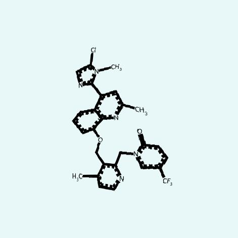 Cc1cc(-c2ncc(Cl)n2C)c2cccc(OCc3c(C)ccnc3Cn3cc(C(F)(F)F)ccc3=O)c2n1